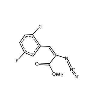 COC(=O)/C(=C\c1cc(F)ccc1Cl)N=[N+]=[N-]